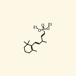 CCOP(=O)(C=CC(C)C=CC1=C(C)CCCC1(C)C)OCC